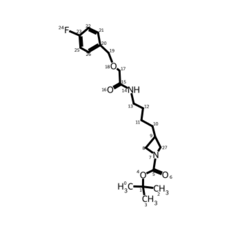 CC(C)(C)OC(=O)N1CC(CCCCNC(=O)COCc2ccc(F)cc2)C1